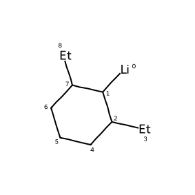 [Li][CH]1C(CC)CCCC1CC